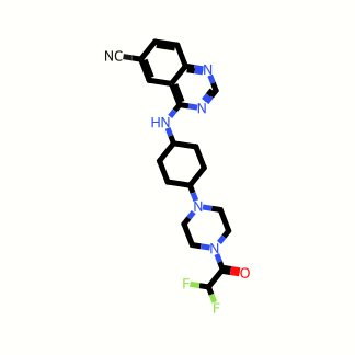 N#Cc1ccc2ncnc(NC3CCC(N4CCN(C(=O)C(F)F)CC4)CC3)c2c1